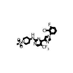 CS(=O)(=O)N1CCC(Nc2ncc(C(F)(F)F)c(-c3cn(-c4cccc(F)c4Cl)cn3)n2)CC1